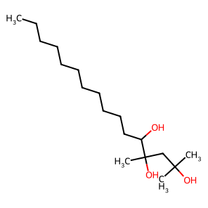 CCCCCCCCCCCC(O)C(C)(O)CC(C)(C)O